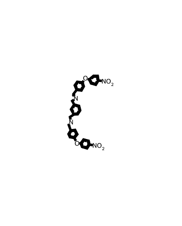 O=[N+]([O-])c1ccc(Oc2ccc(C=NCc3cccc(CN=Cc4ccc(Oc5ccc([N+](=O)[O-])cc5)cc4)c3)cc2)cc1